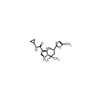 Cc1cnc(C2CC(C)(C)n3ncc(C(=O)NC4CC4)c3N2)s1